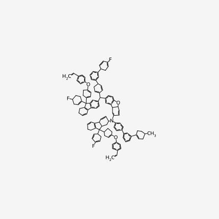 C=Cc1ccc(OC2=CC=C(C3(C4=CCC(F)CC4)C4=C(C=CCC4)c4ccc(C(C5=CCC(c6cccc(C7C=CC(F)=CC7)c6)C=C5)c5ccc6c(c5)C5C=C(N(c7ccc(-c8cccc(C9=CCC(C)CC9)c8)cc7)C7C=CC8C9=C(CCC=C9)C(C9C=CC(F)=CC9)(C9CC=C(Oc%10ccc(C=C)cc%10)CC9)C8C7)C=CC5O6)cc43)CC2)cc1